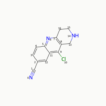 N#Cc1ccc2nc3c(c(Cl)c2c1)CNCC3